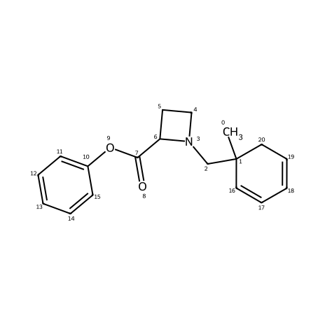 CC1(CN2CCC2C(=O)Oc2ccccc2)C=CC=CC1